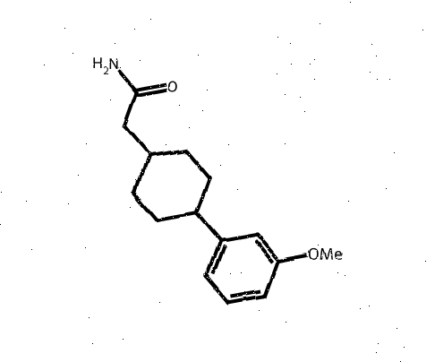 COc1cccc(C2CCC(CC(N)=O)CC2)c1